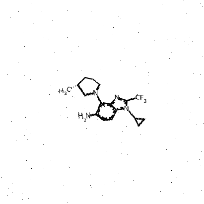 [CH2][C@@H]1CCCN(c2c(N)ccc3c2nc(C(F)(F)F)n3C2CC2)C1